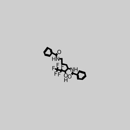 O=C(NCCCC(NC(=O)c1ccccc1)C(O)C(F)(F)C(F)(F)F)c1ccccc1